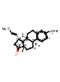 COC=C[C@H]1CC(=O)[C@@]2(C)CC[C@@H]3c4ccc(OC)cc4CC[C@H]3[C@H]12